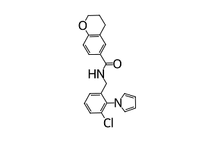 O=C(NCc1cccc(Cl)c1-n1cccc1)c1ccc2c(c1)CCCO2